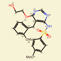 COc1ccc(S(=O)(=O)Nc2ncnc(OCCO)c2Cc2ccccc2OC)cc1